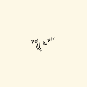 [P]#[Pd].[Rh].[Ru]